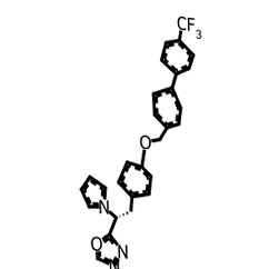 FC(F)(F)c1ccc(-c2ccc(COc3ccc(C[C@H](c4nnco4)n4cccc4)cc3)cc2)cc1